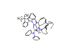 CC1(C)c2ccccc2-c2c1c1cccc3c1n2-c1cc(N(c2ccccc2)c2ccccc2)cc2c1B3c1cccc3c1N2C1(C)CCCCC31C